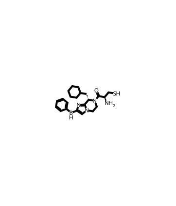 N[C@H](CS)C(=O)N1CCn2cc(Bc3ccccc3)nc2[C@@H]1CC1CCCCC1